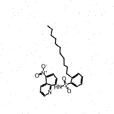 CCCCCCCCCCCc1ccccc1S(=O)(=O)Nc1ccc([N+](=O)[O-])c2cccnc12